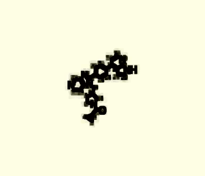 O=C(C1CC1)N1CC[C@@H](Cn2c(-c3ccc(-c4ccnc5[nH]ccc45)cc3)nc3cnccc32)C1